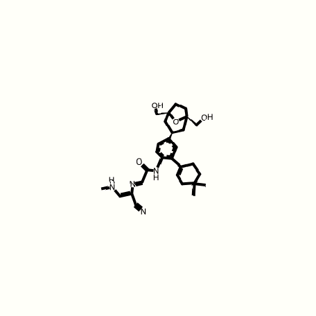 CN/C=C(C#N)\N=C\C(=O)Nc1ccc([C@H]2C[C@]3(CO)CC[C@](CO)(C2)O3)cc1C1=CCC(C)(C)CC1